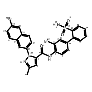 Cc1cc(C(=O)Nc2ccc(-c3ccccc3S(N)(=O)=O)cc2Br)n(-c2ccc3cc(Br)ccc3c2)n1